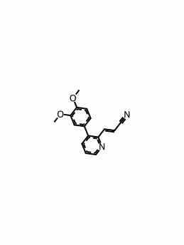 COc1ccc(-c2cccnc2C=CC#N)cc1OC